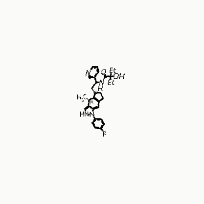 CCC(O)(CC)C(=O)NC(C[C@H]1CCC2=C1[C@@H](C)C1=CNN(c3ccc(F)cc3)C1=C2)c1cccnc1